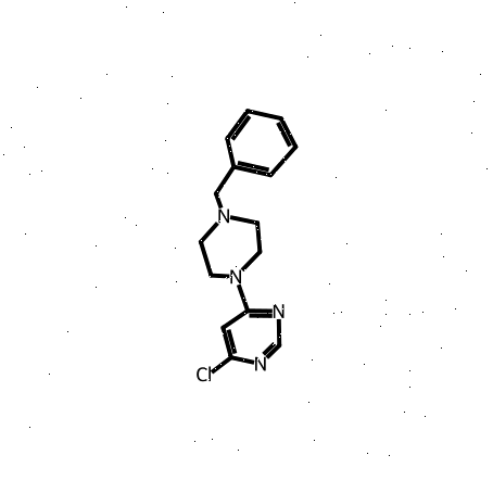 Clc1cc(N2CCN(Cc3ccccc3)CC2)ncn1